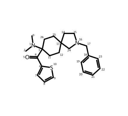 CN(C)C1(C(=O)c2cccs2)CCC2(CCN(Cc3ccccc3)C2)CC1